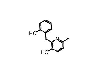 Cc1ccc(O)c(Cc2ccccc2O)n1